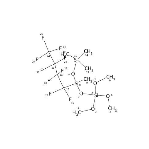 CO[Si](OC)(OC)O[Si](C)(O[Si](C)(C)C)C(F)(F)C(F)(F)C(F)(F)C(F)(F)F